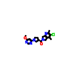 COc1cc(N2CC[C@@H](C(=O)N3Cc4nc(C)c(Cl)c(C)c4C3)C2)ncn1